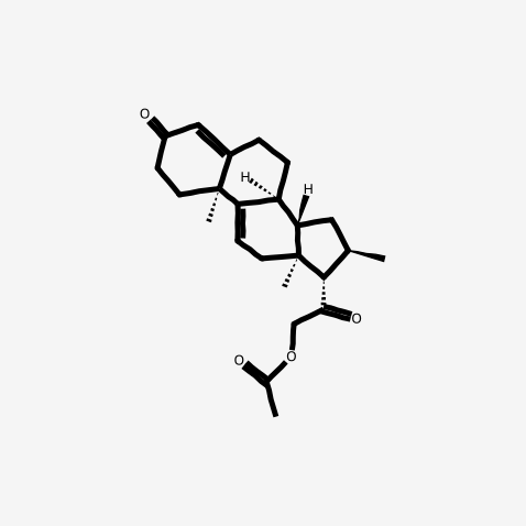 CC(=O)OCC(=O)[C@H]1[C@H](C)C[C@H]2[C@@H]3CCC4=CC(=O)CC[C@]4(C)C3=CC[C@@]21C